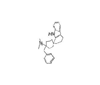 CN(C)C1(Cc2ccccc2)CCC2(CCCc3c2[nH]c2ccccc32)CC1